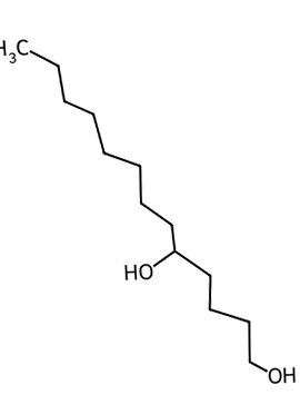 CCCCCCCCC(O)CCCCO